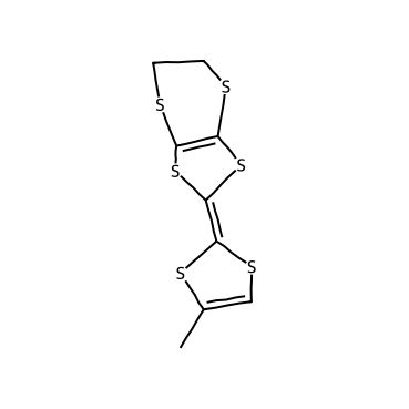 CC1=CSC(=C2SC3=C(SCCS3)S2)S1